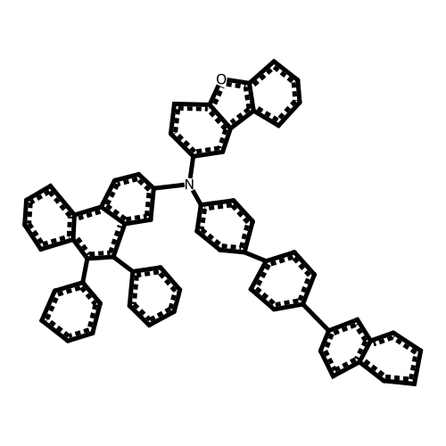 c1ccc(-c2c(-c3ccccc3)c3cc(N(c4ccc(-c5ccc(-c6ccc7ccccc7c6)cc5)cc4)c4ccc5oc6ccccc6c5c4)ccc3c3ccccc23)cc1